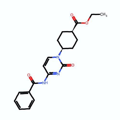 CCOC(=O)[C@H]1CC[C@@H](n2ccc(NC(=O)c3ccccc3)nc2=O)CC1